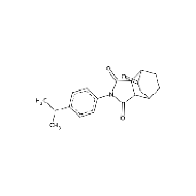 CC(C)c1ccc(N2C(=O)C3C4CCC(C(=O)C4)C3C2=O)cc1